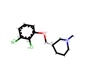 CN1CCC[C@H](COc2cccc(Br)c2Cl)C1